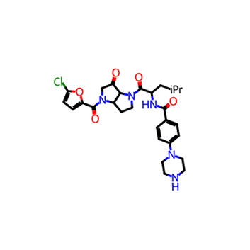 CC(C)CC(NC(=O)c1ccc(N2CCNCC2)cc1)C(=O)N1CCC2C1C(=O)CN2C(=O)c1ccc(Cl)o1